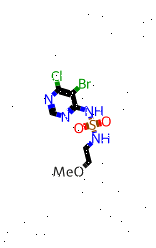 COCCNS(=O)(=O)Nc1ncnc(Cl)c1Br